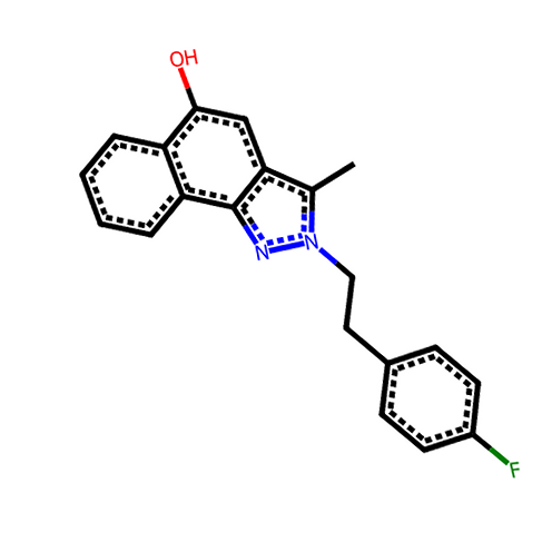 Cc1c2cc(O)c3ccccc3c2nn1CCc1ccc(F)cc1